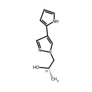 C[C@H](O)Cn1cc(-c2ccc[nH]2)cn1